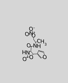 CC(CO[N+](=O)[O-])NC(=O)C1NC(=O)OC1c1ccoc1